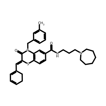 Cc1cccc(CN2C(=O)/C(=C/C3=CC=CCC3)Sc3ccc(C(=O)NCCCN4CCCCCC4)cc32)c1